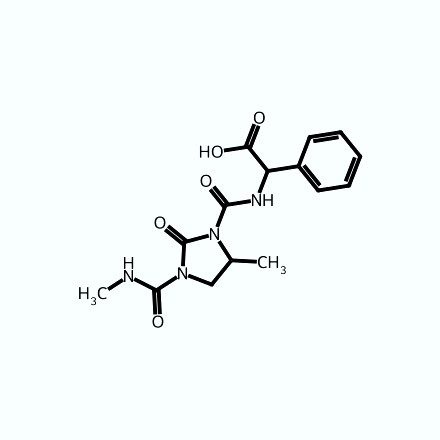 CNC(=O)N1CC(C)N(C(=O)NC(C(=O)O)c2ccccc2)C1=O